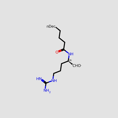 CCCCCCCCCCCCCC(=O)N[C@@H]([C]=O)CCCNC(=N)N